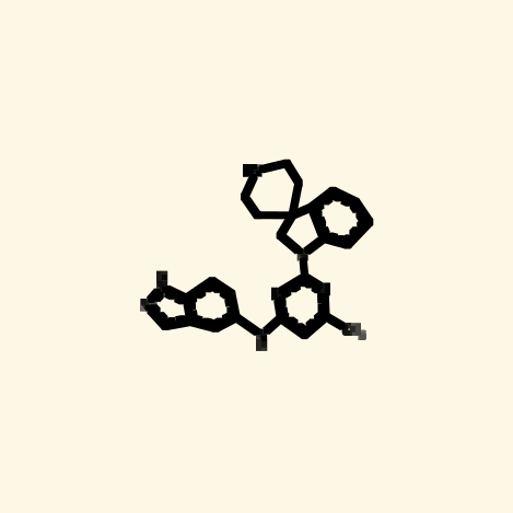 Cc1cc(Nc2ccc3[nH]ncc3c2)nc(N2CC3(CCNCC3)c3ccccc32)n1